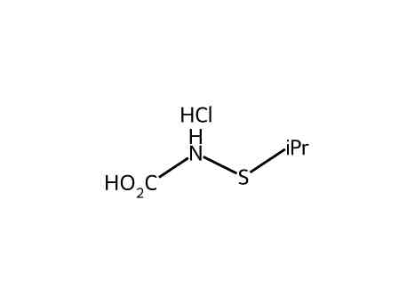 CC(C)SNC(=O)O.Cl